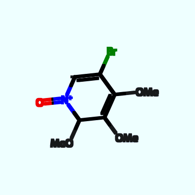 COC1=C(OC)C(OC)[N+](=O)[C]=C1Br